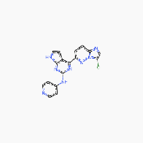 Clc1cnc2ccc(-c3nc(Nc4ccncc4)nc4[nH]ccc34)nn12